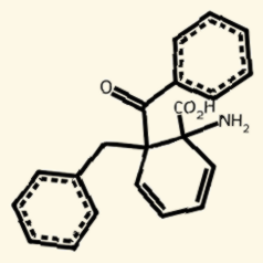 NC1(C(=O)O)C=CC=CC1(Cc1ccccc1)C(=O)c1ccccc1